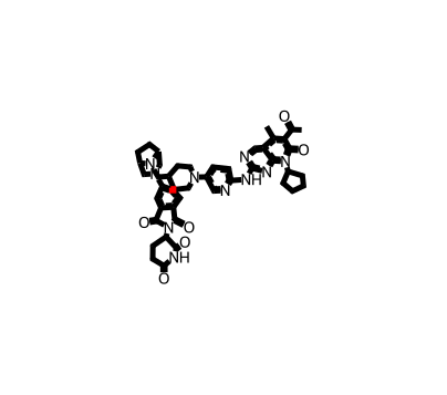 CC(=O)c1c(C)c2cnc(Nc3ccc(N4CCC(CN5C6CCC5CN(c5ccc7c(c5)C(=O)N(C5CCC(=O)NC5=O)C7=O)C6)CC4)cn3)nc2n(C2CCCC2)c1=O